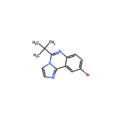 CC(C)(C)c1nc2ccc(Br)cc2c2nccn12